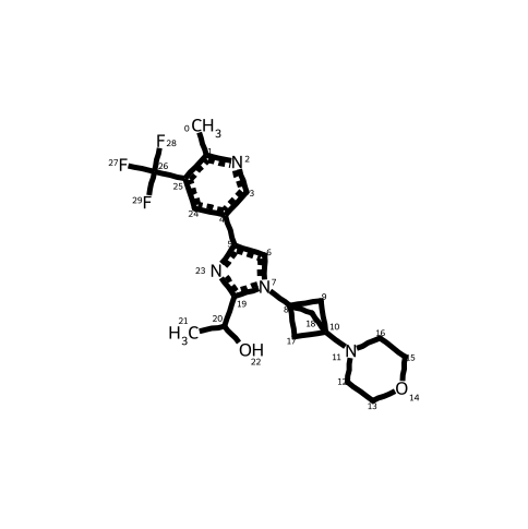 Cc1ncc(-c2cn(C34CC(N5CCOCC5)(C3)C4)c(C(C)O)n2)cc1C(F)(F)F